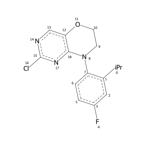 CC(C)c1cc(F)ccc1N1CCOc2cnc(Cl)nc21